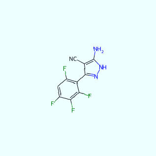 N#Cc1c(-c2c(F)cc(F)c(F)c2F)n[nH]c1N